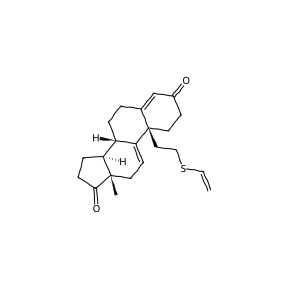 C=CSCC[C@]12CCC(=O)C=C1CC[C@@H]1C2=CC[C@]2(C)C(=O)CC[C@@H]12